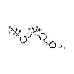 Cc1ccc(Oc2cccc(CC(O)(NCc3cccc(C(F)(F)C(F)(F)C(F)(F)F)c3)C(F)(F)F)c2)cc1